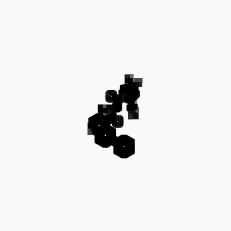 N#C[C@@H]1CC(F)(F)CN1C(=O)CNC(=O)c1ccnc2ccc(-c3ccccc3)cc12